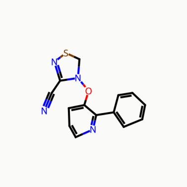 N#CC1=NSCN1Oc1cccnc1-c1ccccc1